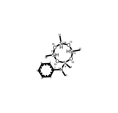 CN(c1ccccc1)[Si]1(C)O[SiH](C)O[SiH](C)O[SiH](C)O1